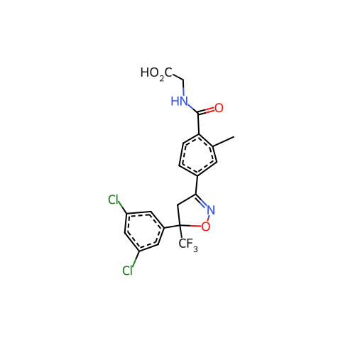 Cc1cc(C2=NOC(c3cc(Cl)cc(Cl)c3)(C(F)(F)F)C2)ccc1C(=O)NCC(=O)O